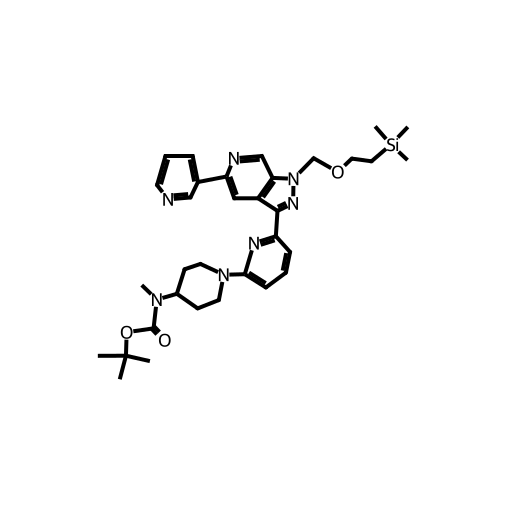 CN(C(=O)OC(C)(C)C)C1CCN(c2cccc(-c3nn(COCC[Si](C)(C)C)c4cnc(-c5cccnc5)cc34)n2)CC1